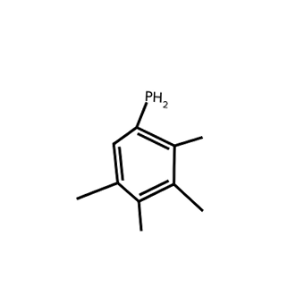 Cc1cc(P)c(C)c(C)c1C